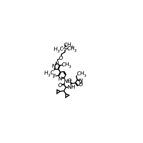 CCc1nocc1C(=O)NC(C(=O)Nc1ccc(-c2c(C)nn(COCCS(C)(C)C)c2C)c(F)n1)C(C1CC1)C1CC1